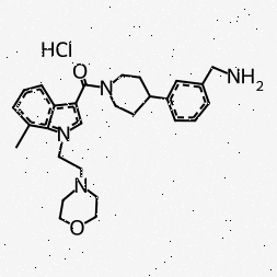 Cc1cccc2c(C(=O)N3CCC(c4cccc(CN)c4)CC3)cn(CCN3CCOCC3)c12.Cl